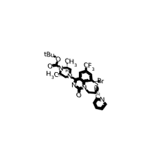 C[C@@H]1CN(c2nc(=O)n3c4c(cc(C(F)(F)F)cc24)[SH](Br)C[C@H](c2ccccn2)C3)C[C@H](C)N1C(=O)OC(C)(C)C